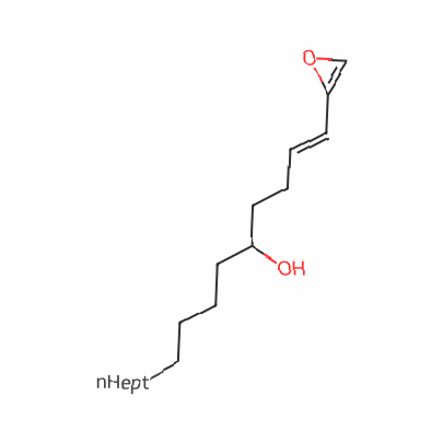 CCCCCCCCCCCC(O)CCC=CC1=CO1